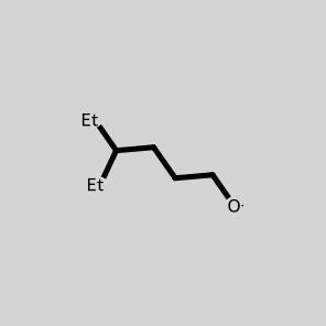 CCC(CC)CCC[O]